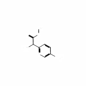 CC(C)(C)OC(=O)C(N)c1ccc(C(=O)O)cn1